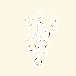 CC(=O)N(C(=O)[C@@H](N)Cc1ccccc1)[C@@](Cn1cc(NC(=O)OC(C)(C)C)cn1)(C(=O)N[C@@H](CC1CCCCC1)[C@@H](O)CC(=O)NCC(C)C)C1CS(=O)(=O)c2ccccc21